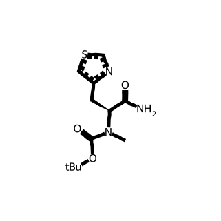 CN(C(=O)OC(C)(C)C)[C@@H](Cc1cscn1)C(N)=O